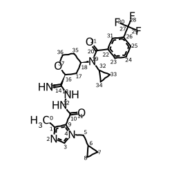 Cc1ncn(CC2CC2)c1C(=O)NNC(=N)[C@@H]1C[C@H](N(C(=O)c2cccc(C(F)(F)F)c2)C2CC2)CCO1